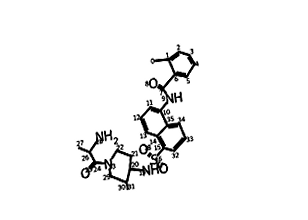 Cc1ccccc1C(=O)Nc1cccc2c(S(=O)(=O)NC3CCN(C(=O)C(C)N)CC3C)cccc12